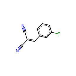 N#CC(C#N)=Cc1cccc(F)c1